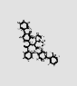 C=C1c2ccccc2N2c3cnc(-c4ccccc4C)nc3N(C)C2C2C1c1ccc3c(oc4ccccc43)c1N1C=CN(C)C21